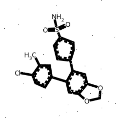 Cc1cc(-c2cc3c(cc2-c2ccc(S(N)(=O)=O)cc2)OCO3)ccc1Cl